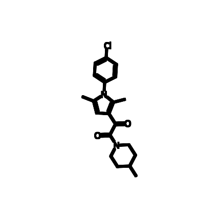 Cc1cc(C(=O)C(=O)N2CCC(C)CC2)c(C)n1-c1ccc(Cl)cc1